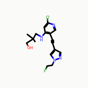 CC(C)(CO)CNc1cc(Cl)ncc1C#Cc1cnn(CCF)c1